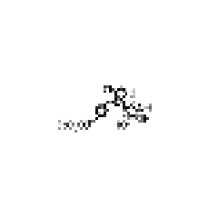 CCOC(=O)OCCc1ccc(Cc2cn([C@@H]3O[C@H](CO)[C@@H](O)[C@H](O)[C@H]3O)c3cccc(Cl)c23)cc1